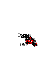 CCC12CCC3c4cc(-c5ccccc5)c5c(oc6ncc7c(c8c9c%10c(c%11c%12c%13c(ncc%12n7c8%11)oc7c8c(cc(-c%11ccccc%11)c7%13)C7CC%11CC(C7)CC8C%11)CCc7cc(C(C)(C)C)cc(c7-%10)CC9)c65)c4CC1CC32